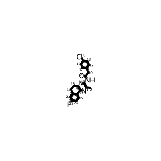 Cc1nc2c(nc1NC(=O)Cc1ccc(Cl)cc1)CCc1cc(F)ccc1-2